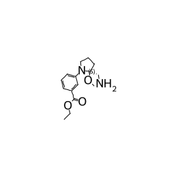 CCOC(=O)c1cccc(N2CCC[C@@]2(CN)OC)c1